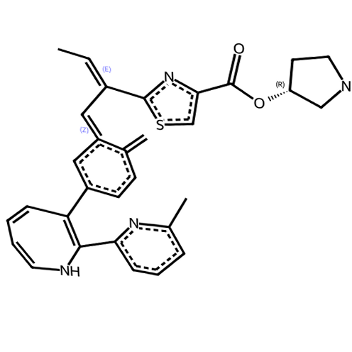 C=c1ccc(C2=C(c3cccc(C)n3)NC=CC=C2)c/c1=C/C(=C\C)c1nc(C(=O)O[C@@H]2CCNC2)cs1